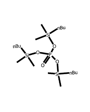 CCCC[Si](C)(C)OP(=O)(O[Si](C)(C)CCCC)O[Si](C)(C)CCCC